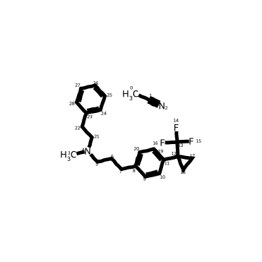 CC#N.CN(CCCc1ccc(C2(C(F)(F)F)CC2)cc1)CCc1ccccc1